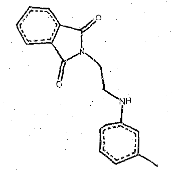 Cc1cccc(NCCN2C(=O)c3ccccc3C2=O)c1